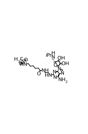 CC(C)NC[C@H]1O[C@@H](n2cnc3c(N)nc(NCCNC(=O)CCCCCNS(C)(=O)=O)nc32)[C@H](O)[C@@H]1O